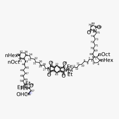 CCCCCCCCC1C(CCCCCC)CCC(CCCCCCCCC(CC)(CC)n2c(=O)c3cc4c(=O)n(CCCCCCCCC5CCC(CCCCCC)C(CCCCCCCC)C5CCCCCCCCC(CC)(CC)NC(=O)/C=C\C=O)c(=O)c4cc3c2=O)C1CCCCCCCCN1C(=O)C=CC1=O